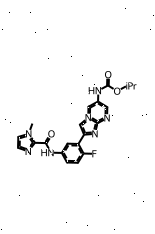 CC(C)OC(=O)Nc1cnc2nc(-c3cc(NC(=O)c4nccn4C)ccc3F)cn2c1